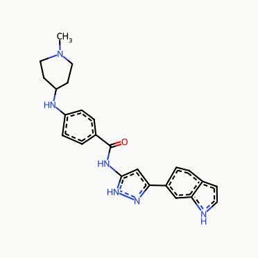 CN1CCC(Nc2ccc(C(=O)Nc3cc(-c4ccc5cc[nH]c5c4)n[nH]3)cc2)CC1